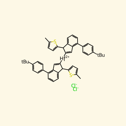 Cc1ccc(C2[C]([Hf+2][C]3=Cc4c(-c5ccc(C(C)(C)C)cc5)cccc4C3c3ccc(C)s3)=Cc3c(-c4ccc(C(C)(C)C)cc4)cccc32)s1.[Cl-].[Cl-]